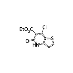 CCOC(=O)c1c(Cl)c2sccc2[nH]c1=O